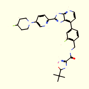 CC(C)(C)C1NC(C(=O)NCc2ccc(-c3ccnc4[nH]c(-c5ccc(N6CCC(F)CC6)cn5)nc34)cc2F)=NO1